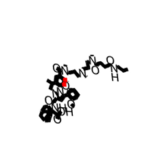 CCCNC(=O)CCC(=O)N(C)CCCN(C)CCCN(C)C(=O)c1ccc(-n2nc(C(=O)NC3(C(=O)O)C4CC5CC(C4)CC3C5)cc2-c2c(OC)cccc2OC)c(C(C)C)c1